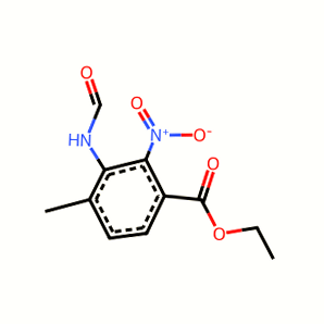 CCOC(=O)c1ccc(C)c(NC=O)c1[N+](=O)[O-]